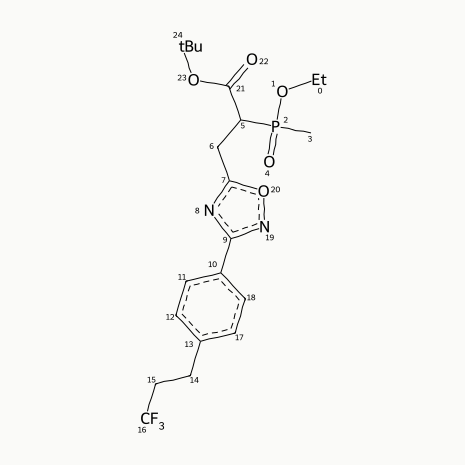 CCOP(C)(=O)C(Cc1nc(-c2ccc(CCC(F)(F)F)cc2)no1)C(=O)OC(C)(C)C